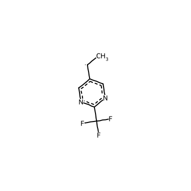 C[CH]c1cnc(C(F)(F)F)nc1